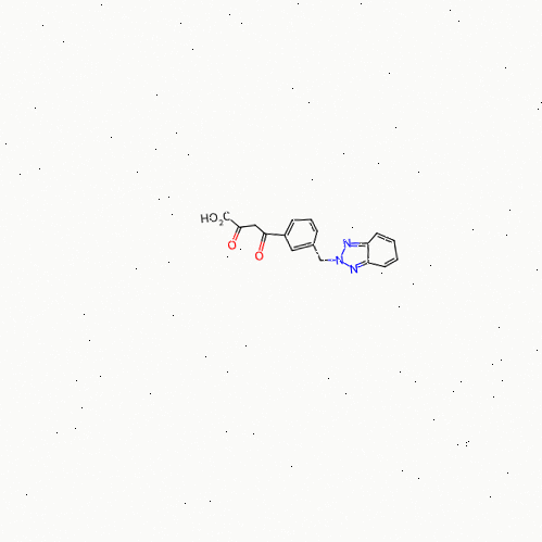 O=C(O)C(=O)CC(=O)c1cccc(Cn2nc3ccccc3n2)c1